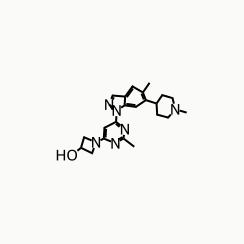 Cc1nc(N2CC(O)C2)cc(-n2ncc3cc(C)c(C4CCN(C)CC4)cc32)n1